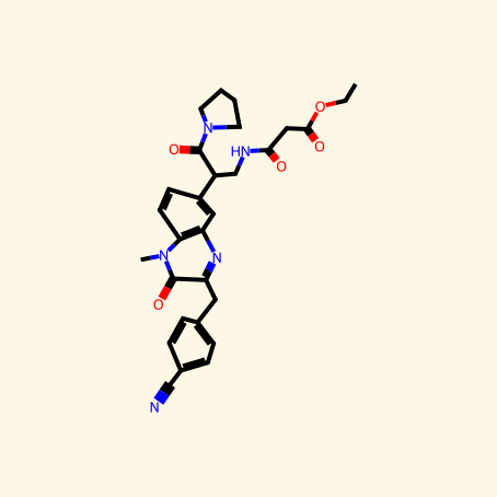 CCOC(=O)CC(=O)NCC(C(=O)N1CCCC1)c1ccc2c(c1)nc(Cc1ccc(C#N)cc1)c(=O)n2C